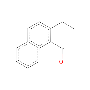 CCc1ccc2ccccc2c1[C]=O